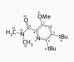 COc1cc(C(C)(C)C)c(C(C)(C)C)nc1C(=O)N(C)C